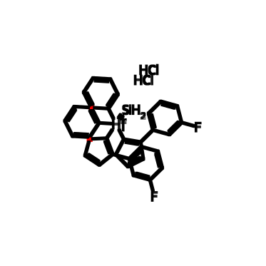 Cl.Cl.Fc1cccc(C2=[C]([Hf](=[SiH2])([C]3=C(c4cccc(F)c4)C=CC3)([c]3ccccc3)[c]3ccccc3)CC=C2)c1